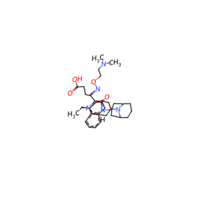 CC[C@H]1CC2CC(N3C4CCCC3CC(n3c(=O)c(/C(CCC(=O)O)=N/OCCN(C)C)nc5ccccc53)C4)C[C@H](C2)C1